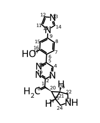 C=C(c1ncc(-c2ccc(-n3ccnc3)cc2O)nn1)[C@H]1[C@@H]2CNC[C@@H]21